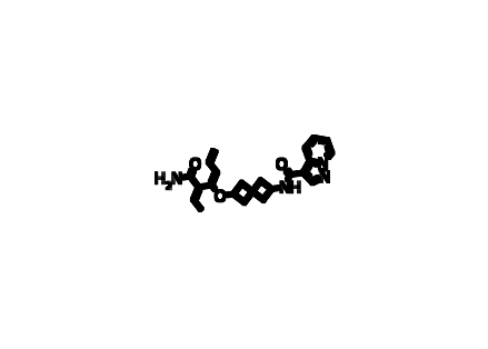 C=C/C=C(OC1CC2(CC(NC(=O)c3cnn4ccccc34)C2)C1)\C(=C/C)C(N)=O